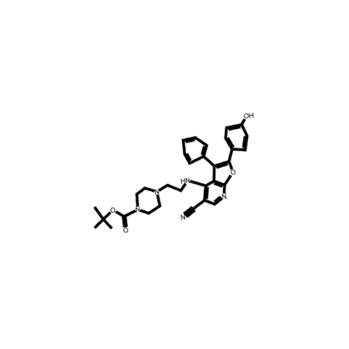 CC(C)(C)OC(=O)N1CCN(CCNc2c(C#N)cnc3oc(-c4ccc(O)cc4)c(-c4ccccc4)c23)CC1